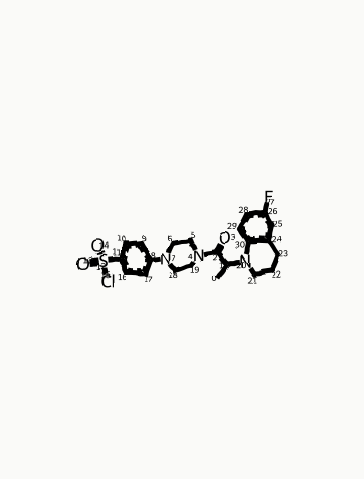 CC(C(=O)N1CCN(c2ccc(S(=O)(=O)Cl)cc2)CC1)N1CCCc2cc(F)ccc21